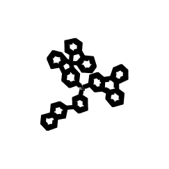 c1cc(-c2ccc3ccccc3c2)cc(N(c2ccc3c(c2)C2(c4ccccc4-c4ccccc42)c2ccccc2-3)c2ccc3c4ccccc4c4ccccc4c3c2)c1